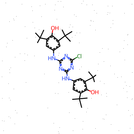 CC(C)(C)c1cc(Nc2nc(Cl)nc(Nc3cc(C(C)(C)C)c(O)c(C(C)(C)C)c3)n2)cc(C(C)(C)C)c1O